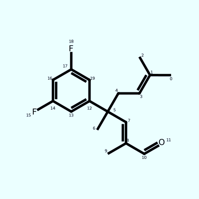 CC(C)=CCC(C)(/C=C(\C)C=O)c1cc(F)cc(F)c1